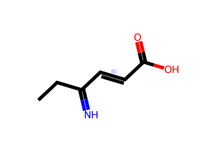 CCC(=N)/C=C/C(=O)O